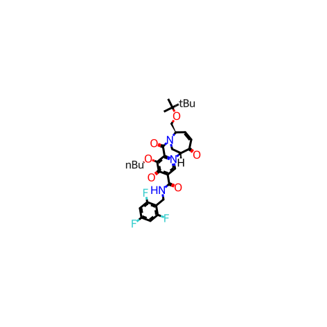 CCCCOc1c2n(cc(C(=O)NCc3c(F)cc(F)cc3F)c1=O)[C@@H]1CN(C2=O)[C@@H](COC(C)(C)C(C)(C)C)C=CC1=O